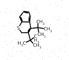 CC(C)(C)C1=C(C(C)(C)C)c2ccccc2SC1